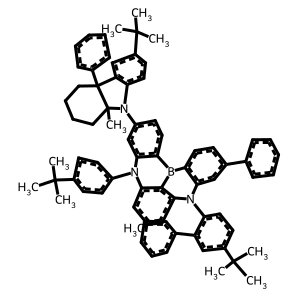 Cc1cc2c3c(c1)N(c1ccc(C(C)(C)C)cc1-c1ccccc1)c1cc(-c4ccccc4)ccc1B3c1ccc(N3c4ccc(C(C)(C)C)cc4C4(c5ccccc5)CCCCC34C)cc1N2c1ccc(C(C)(C)C)cc1